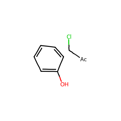 CC(=O)CCl.Oc1ccccc1